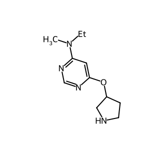 CCN(C)c1cc(OC2CCNC2)ncn1